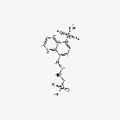 O=S(=O)(O)CNN=Nc1ccc(S(=O)(=O)O)c2ccccc12